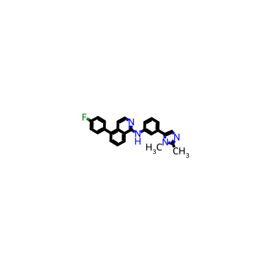 Cc1ncc(-c2cccc(Nc3nccc4c(-c5ccc(F)cc5)cccc34)c2)n1C